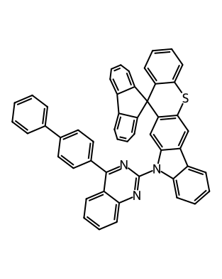 c1ccc(-c2ccc(-c3nc(-n4c5ccccc5c5cc6c(cc54)C4(c5ccccc5S6)c5ccccc5-c5ccccc54)nc4ccccc34)cc2)cc1